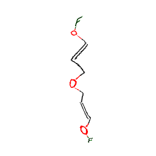 FOC=CCOCC=COF